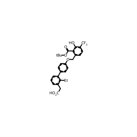 CCc1c(CC(=O)O)cccc1-c1ccc(OCc2ccc(C(F)(F)F)c(O)c2C(=O)OC(C)(C)C)cc1